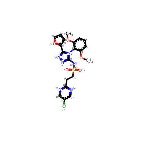 COc1cccc(OC)c1-n1c(NS(=O)(=O)CCc2ncc(Cl)cn2)nnc1-c1ccco1